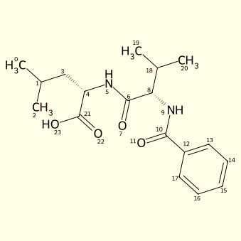 CC(C)C[C@H](NC(=O)[C@@H](NC(=O)c1ccccc1)C(C)C)C(=O)O